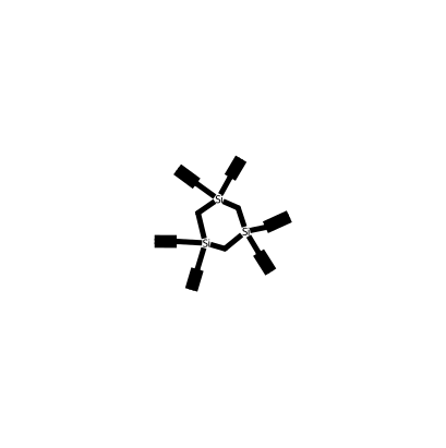 C#C[Si]1(C#C)C[Si](C#C)(C#C)C[Si](C#C)(C#C)C1